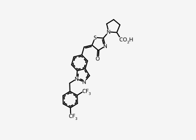 O=C1N=C(N2CCCC2C(=O)O)SC1=Cc1ccc2c(cnn2Cc2ccc(C(F)(F)F)cc2C(F)(F)F)c1